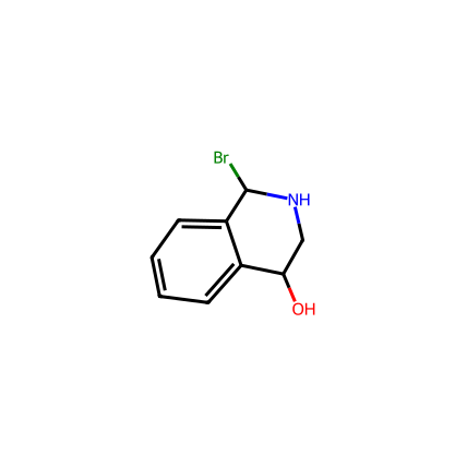 OC1CNC(Br)c2ccccc21